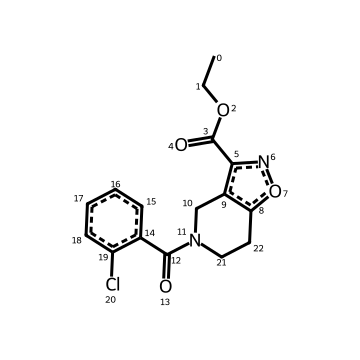 CCOC(=O)c1noc2c1CN(C(=O)c1ccccc1Cl)CC2